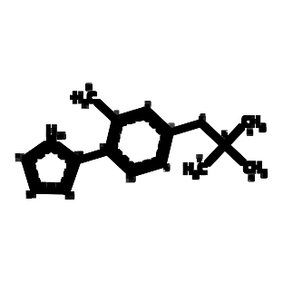 [CH2]c1cc(CC(C)(C)C)ccc1-c1ccc[nH]1